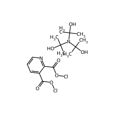 CC(C)(O)N(C(C)(C)O)C(C)(C)O.O=C(OCl)c1cccnc1C(=O)OCl